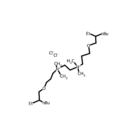 CCCCC(CC)COCCC[N+](C)(C)CC[N+](C)(C)CCCOCC(CC)CCCC.[Cl-].[Cl-]